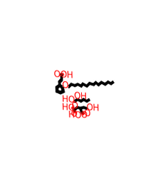 CCCCC(O)C(=O)O.CCCCCCCCCCCCCCCCOc1ccccc1/C=C/C(=O)O.O=C(O)CC(CC(=O)O)C(=O)O